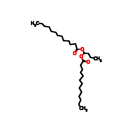 CCCCCCCCCCCCC(=O)OC(CCC)OC(=O)CCCCCCCCCCCC